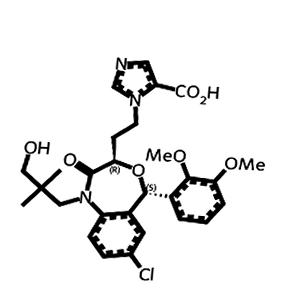 COc1cccc([C@H]2O[C@H](CCn3cncc3C(=O)O)C(=O)N(CC(C)(C)CO)c3ccc(Cl)cc32)c1OC